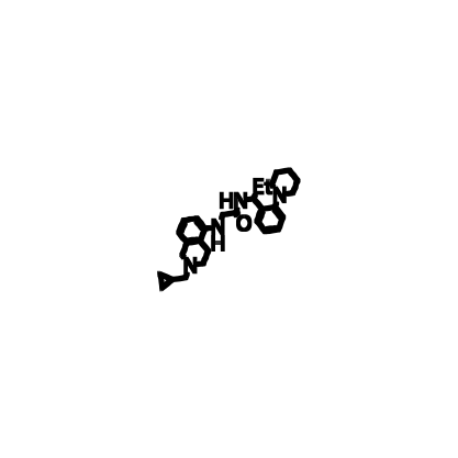 CCC(NC(=O)CNc1cccc2c1CCN(CC1CC1)C2)c1ccccc1N1CCCCC1